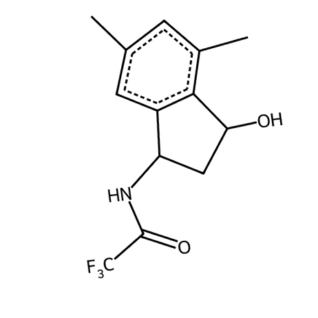 Cc1cc(C)c2c(c1)C(NC(=O)C(F)(F)F)CC2O